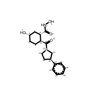 O=C(NO)[C@H]1C[C@@H](O)CC[C@@H]1C(=O)N1CC[C@H](c2ccccc2)C1